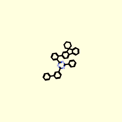 c1ccc(-c2cccc(-c3nc(-c4ccccc4)nc(-c4ccccc4-c4ccc5c(c4)C4(CCCCC4)c4ccccc4-5)n3)c2)cc1